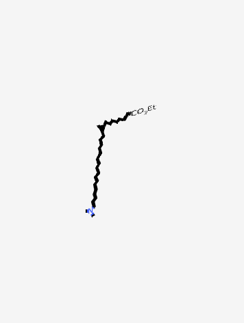 CCOC(=O)CCCCCCCC1CC1CCCCCCCCCCCCCCCCCN(C)C